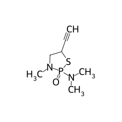 C#CC1CN(C)P(=O)(N(C)C)S1